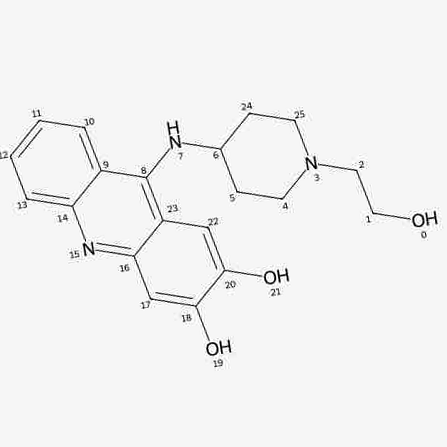 OCCN1CCC(Nc2c3ccccc3nc3cc(O)c(O)cc23)CC1